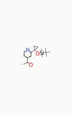 [CH2]C(=O)c1ccnc(C2(O[Si](C)(C)C(C)(C)C)CC2)c1